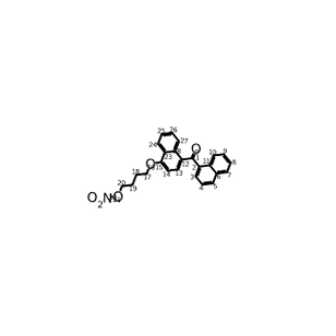 O=C(c1cccc2ccccc12)c1ccc(OCCCCO[N+](=O)[O-])c2ccccc12